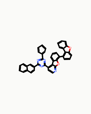 c1ccc(-c2nc(-c3ccc4ccccc4c3)nc(-c3ccnc4oc5c(-c6cccc7oc8ccccc8c67)cccc5c34)n2)cc1